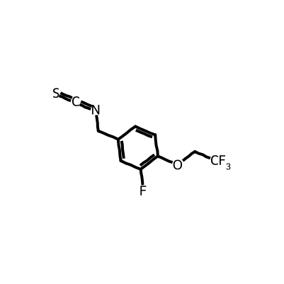 Fc1cc(CN=C=S)ccc1OCC(F)(F)F